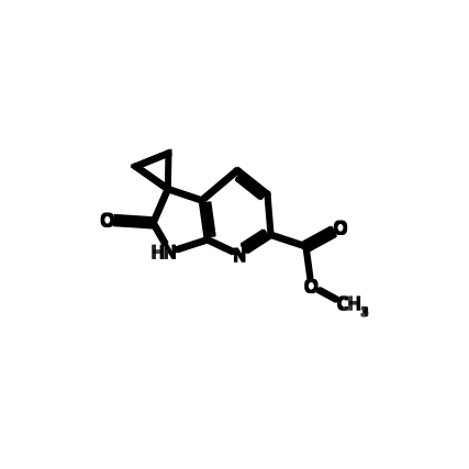 COC(=O)c1ccc2c(n1)NC(=O)C21CC1